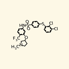 CN1CCC(Oc2cc(NS(=O)(=O)c3ccc(Sc4cccc(Cl)c4Cl)cc3)ccc2C(F)(F)F)C1